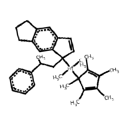 CC1=C(C)[C](C)([Hf]([CH3])([CH3])[C]2(CC(C)c3ccccc3)C=Cc3cc4c(cc32)CCC4)C(C)=C1C